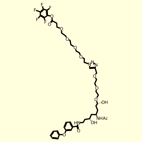 CC(=O)N[C@H](CC[C@@H](O)OCCOCCOCc1cn(CCOCCOCCOCCOCCC(=O)Oc2c(F)c(F)c(F)c(F)c2F)nn1)C[C@H](O)CCNC(=O)c1cccc(Oc2ccccc2)c1